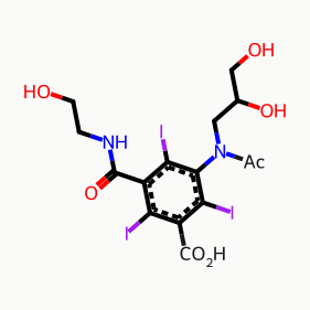 CC(=O)N(CC(O)CO)c1c(I)c(C(=O)O)c(I)c(C(=O)NCCO)c1I